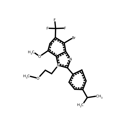 COCCn1c(-c2ccc(C(C)C)cc2)nc2c(Br)c(C(F)(F)F)cc(OC)c21